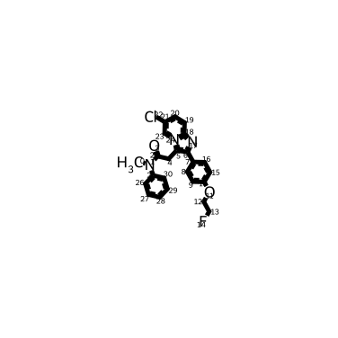 CN(C(=O)Cc1c(-c2ccc(OCCF)cc2)nc2ccc(Cl)cn12)c1ccccc1